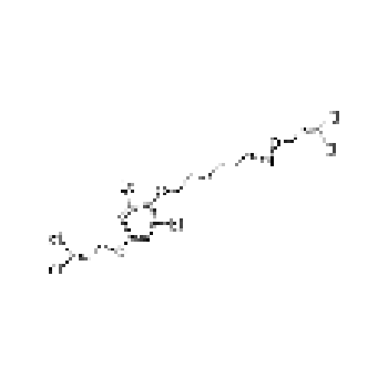 CCc1cc(OCC=C(Cl)Cl)cc(CC)c1OCCCCC/C=N/OCC=C(Cl)Cl